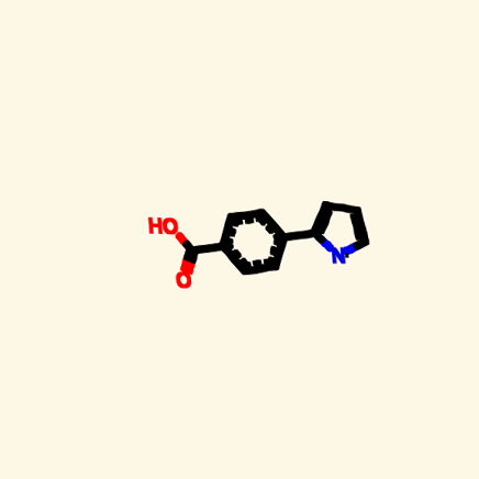 O=C(O)c1ccc(C2=CC=C[N]2)cc1